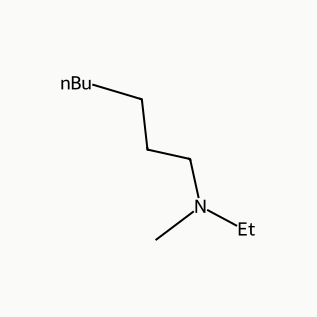 CCCCCCCN(C)CC